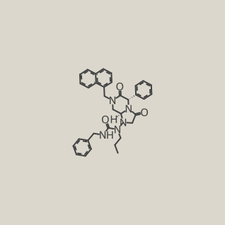 CCCN(C(=O)NCc1ccccc1)N1CC(=O)N2[C@@H](c3ccccc3)C(=O)N(Cc3cccc4ccccc34)C[C@@H]21